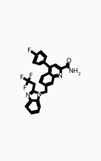 NC(=O)c1cc(-c2ccc(F)cc2)c2ccc(Cn3c(CC(F)(F)F)nc4ccccc43)cc2n1